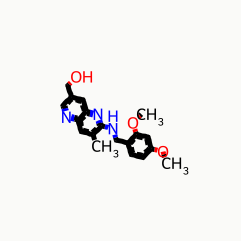 COc1ccc(CNc2nc3cc(CO)cnc3cc2C)c(OC)c1